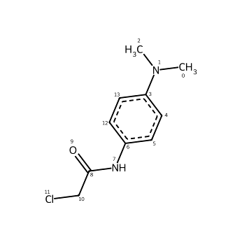 CN(C)c1ccc(NC(=O)CCl)cc1